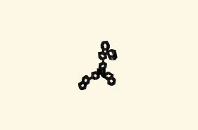 c1ccc2c(c1)-c1ccc(-c3ccc(N(c4ccc(-c5ccc6ccccc6c5)cc4)c4ccc5ccccc5c4)cc3)cc1C21C2CC3CC(C2)CC1C3